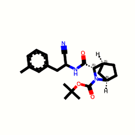 Cc1cccc(CC(C#N)NC(=O)[C@@H]2[C@H]3CC[C@H](C3)N2C(=O)OC(C)(C)C)c1